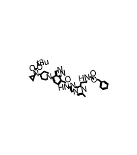 Cc1cn2cc(NC(=O)c3ccc(N4CCC(N(C(=O)OC(C)(C)C)C5CC5)CC4)c4cn(C)nc34)nc2c(CCNC(=O)OCc2ccccc2)n1